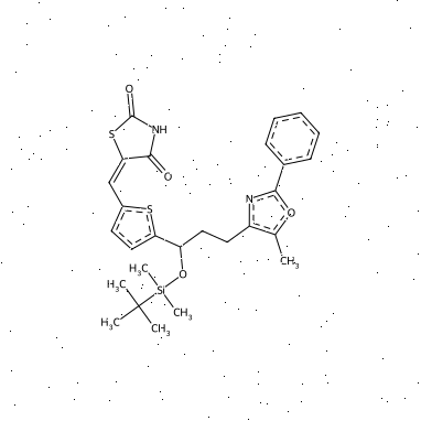 Cc1oc(-c2ccccc2)nc1CCC(O[Si](C)(C)C(C)(C)C)c1ccc(C=C2SC(=O)NC2=O)s1